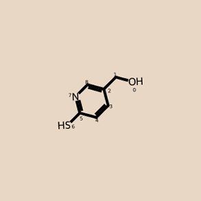 OCc1ccc(S)nc1